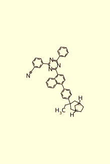 CCC1(c2ccc(-c3ccc(-c4nc(-c5ccccc5)nc(-c5cccc(C#N)c5)n4)c4ccccc34)cc2)C[C@@H]2CC[C@@H](C2)C1